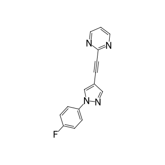 Fc1ccc(-n2cc(C#Cc3ncccn3)cn2)cc1